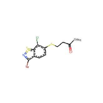 COC(=O)CCSc1ccc2c(Br)nsc2c1Cl